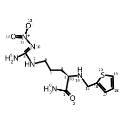 NC(=O)[C@@H](CCCNC(N)=N[N+](=O)[O-])NCc1cccs1